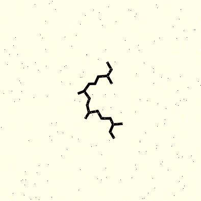 CCC(C)CCCC(C)CCC(C)CCCC(C)CC